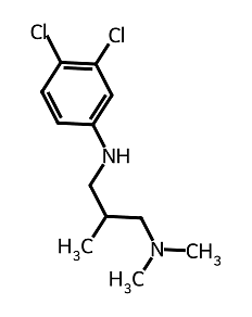 CC(CNc1ccc(Cl)c(Cl)c1)CN(C)C